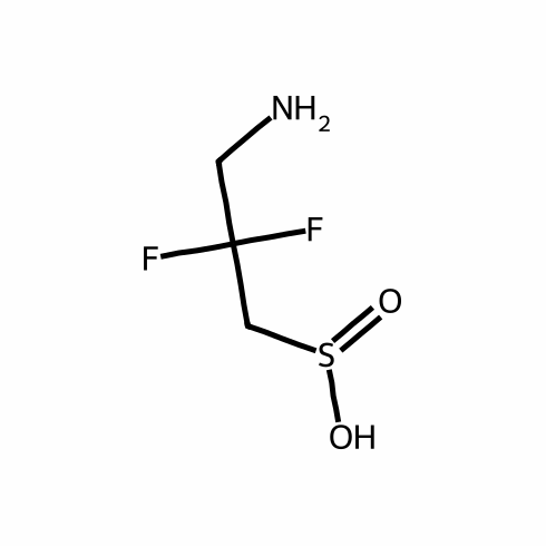 NCC(F)(F)CS(=O)O